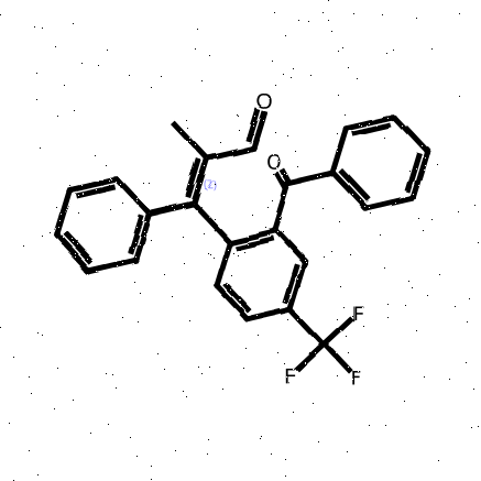 C/C(C=O)=C(\c1ccccc1)c1ccc(C(F)(F)F)cc1C(=O)c1ccccc1